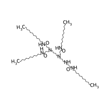 CCCCCCCCCCCCNC(=O)CCNCCCN(CCCCN(CCC(=O)NCCCCCCCCCCCC)CCC(=O)NCCCCCCCCCCCC)CCC(=O)NCCCCCCCCCCCC